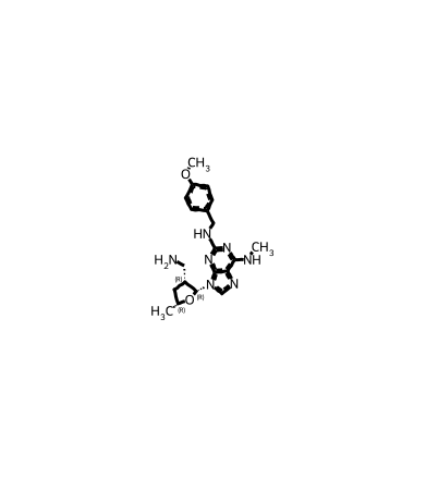 CNc1nc(NCc2ccc(OC)cc2)nc2c1ncn2[C@@H]1O[C@H](C)C[C@@H]1CN